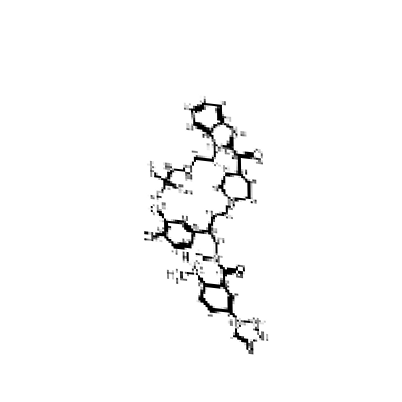 COc1ccc(-n2cnnn2)cc1C(=O)N(C)CC(CCN1CCC(C(=O)c2nc3ccccc3n2CCOCC(F)(F)F)CC1)c1ccc(Cl)c(Cl)c1